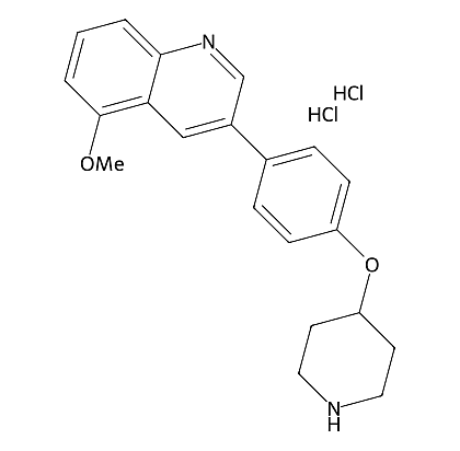 COc1cccc2ncc(-c3ccc(OC4CCNCC4)cc3)cc12.Cl.Cl